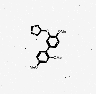 COc1ccc(-c2ccc(OC)c(OC3CCCC3)c2)c(OC)c1